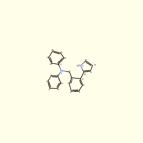 c1ccc(N(Cc2ccccc2-c2ccc[nH]2)c2ccccc2)cc1